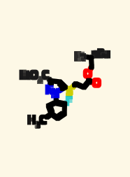 CCCCC(CC)COC(=O)CCSc1cc(C(=O)OCC)nn1-c1cc(C)ccc1F